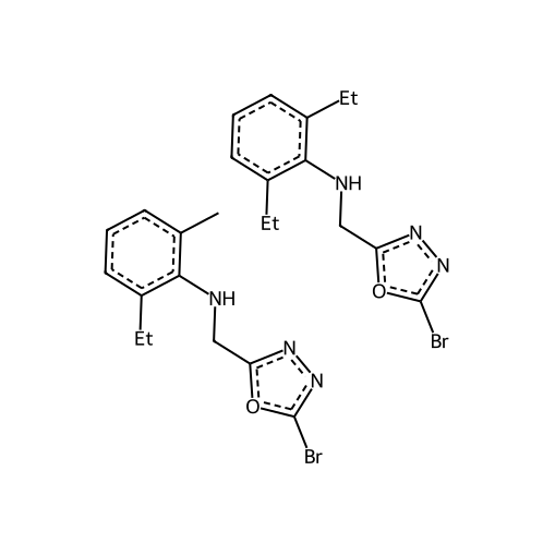 CCc1cccc(C)c1NCc1nnc(Br)o1.CCc1cccc(CC)c1NCc1nnc(Br)o1